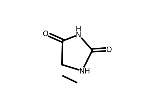 CC.O=C1CNC(=O)N1